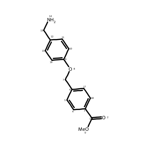 COC(=O)c1ccc(COc2ccc(CN)cc2)cc1